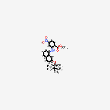 COC(=O)c1ccc([N+](=O)[O-])cc1Nc1cccc2ccc(O[Si](C)(C)C(C)(C)C)cc12